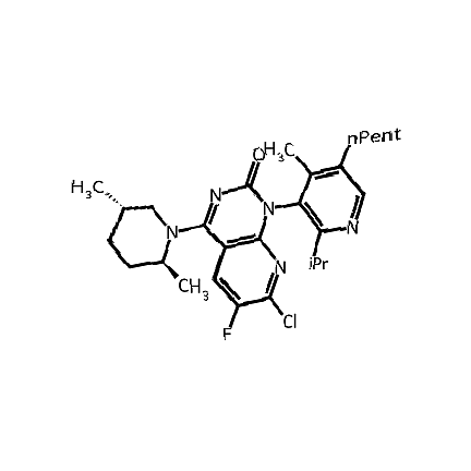 CCCCCc1cnc(C(C)C)c(-n2c(=O)nc(N3C[C@@H](C)CC[C@@H]3C)c3cc(F)c(Cl)nc32)c1C